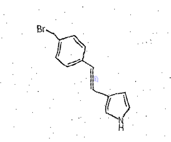 Brc1ccc(/C=C/c2cc[nH]c2)cc1